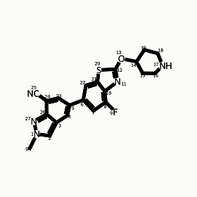 Cn1cc2cc(-c3cc(F)c4nc(OC5CCNCC5)sc4c3)cc(C#N)c2n1